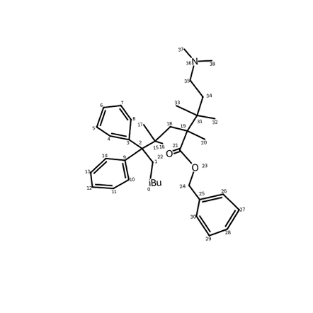 CCC(C)CC(c1ccccc1)(c1ccccc1)C(C)(C)CC(C)(C(=O)OCc1ccccc1)C(C)(C)CCN(C)C